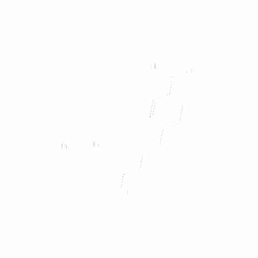 CC(COCc1ccc(B(O)O)cc1)CO[Si](C(C)C)(C(C)C)C(C)C